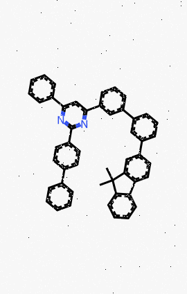 CC1(C)c2ccccc2-c2ccc(-c3cccc(-c4cccc(-c5cc(-c6ccccc6)nc(-c6ccc(-c7ccccc7)cc6)n5)c4)c3)cc21